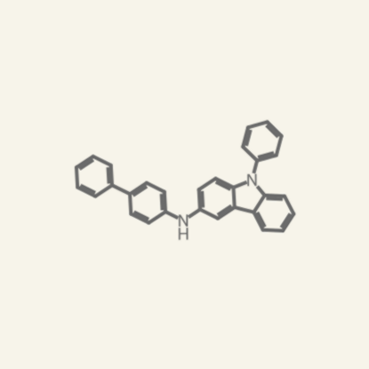 c1ccc(-c2ccc(Nc3ccc4c(c3)c3ccccc3n4-c3ccccc3)cc2)cc1